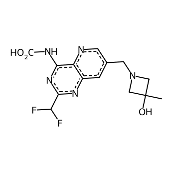 CC1(O)CN(Cc2cnc3c(NC(=O)O)nc(C(F)F)nc3c2)C1